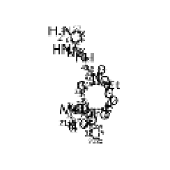 CC[C@H]1OC(=O)[C@@](C)(F)C(=O)[C@H](C)[C@@H](OC2O[C@H](C)C[C@H](N(C)C)[C@H]2OC(=O)c2ccccc2)[C@@](C)(OC)C[C@@H](C)C(=O)[C@H](C)C2N(CCCCN/C=C(\N=N)c3cccc(N)c3)C(=O)O[C@@]21C